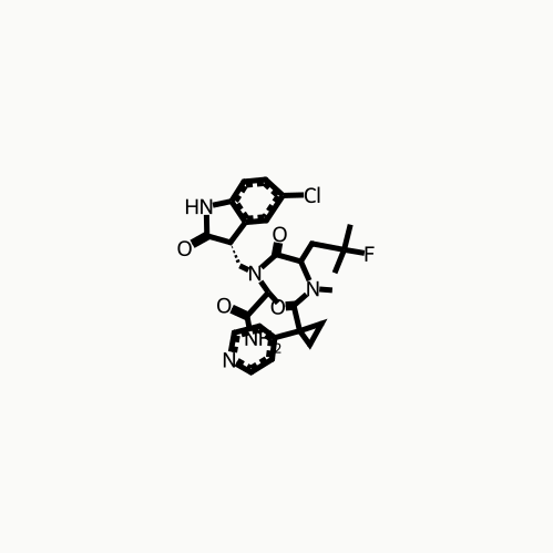 CC(C(N)=O)N(C[C@@H]1C(=O)Nc2ccc(Cl)cc21)C(=O)C(CC(C)(C)F)N(C)C(=O)C1(c2ccncc2)CC1